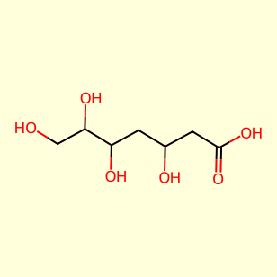 O=C(O)CC(O)CC(O)C(O)CO